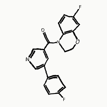 O=C(c1cncc(-c2ccc(F)cc2)c1)N1CCOc2cc(F)ccc21